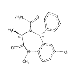 C[C@@H]1C(=O)N(C)c2ccc(Cl)cc2[C@@H](c2ccccc2)N1C(N)=O